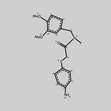 COc1ccc(CN(C)C(=O)CSc2ccc(N)cc2)cc1OC